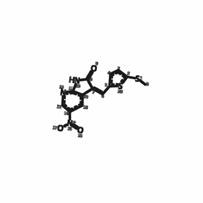 CSc1ccc(C=C2C(=O)Nc3ncc([N+](=O)[O-])cc32)s1